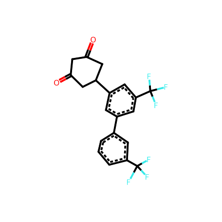 O=C1CC(=O)CC(c2cc(-c3cccc(C(F)(F)F)c3)cc(C(F)(F)F)c2)C1